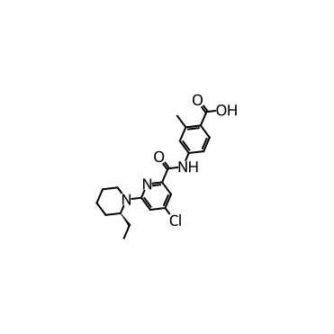 CC[C@H]1CCCCN1c1cc(Cl)cc(C(=O)Nc2ccc(C(=O)O)c(C)c2)n1